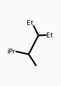 CC[C](CC)C(C)C(C)C